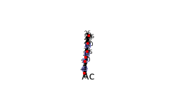 CC(=O)CC/C(C)=C/CC/C(C)=C/CC/C=C(\C)CC/C=C(\C)CCC=C(C)C